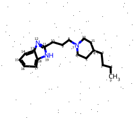 CCCCC1CCN(CCCc2nc3ccccc3[nH]2)CC1